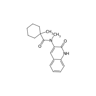 CN(C(=O)C1(C)CCCCC1)c1cc2ccccc2[nH]c1=O